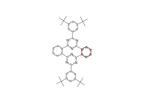 CC(C)(C)c1cc(-c2nc(-c3ccccc3)nc(-c3ccccc3-c3nc(-c4ccccc4)nc(-c4cc(C(C)(C)C)cc(C(C)(C)C)c4)n3)n2)cc(C(C)(C)C)c1